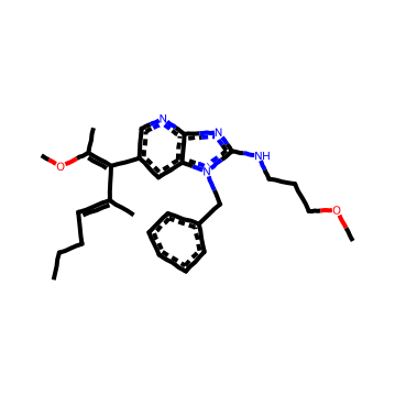 CCC/C=C(C)/C(=C(/C)OC)c1cnc2nc(NCCCOC)n(Cc3ccccc3)c2c1